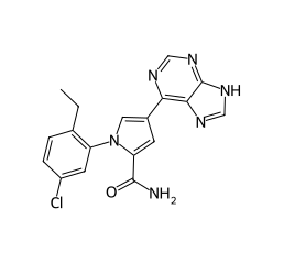 CCc1ccc(Cl)cc1-n1cc(-c2ncnc3[nH]cnc23)cc1C(N)=O